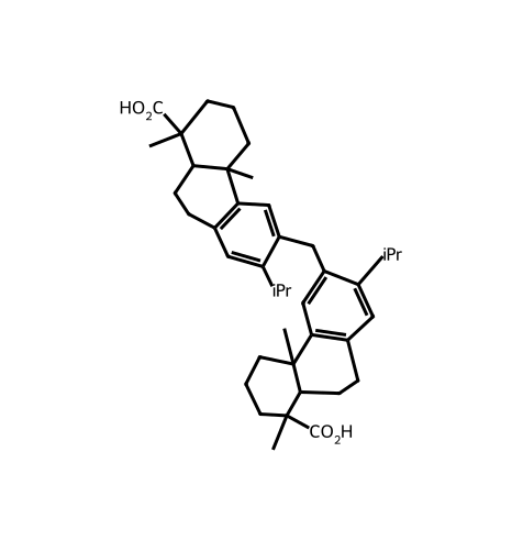 CC(C)c1cc2c(cc1Cc1cc3c(cc1C(C)C)CCC1C(C)(C(=O)O)CCCC31C)C1(C)CCCC(C)(C(=O)O)C1CC2